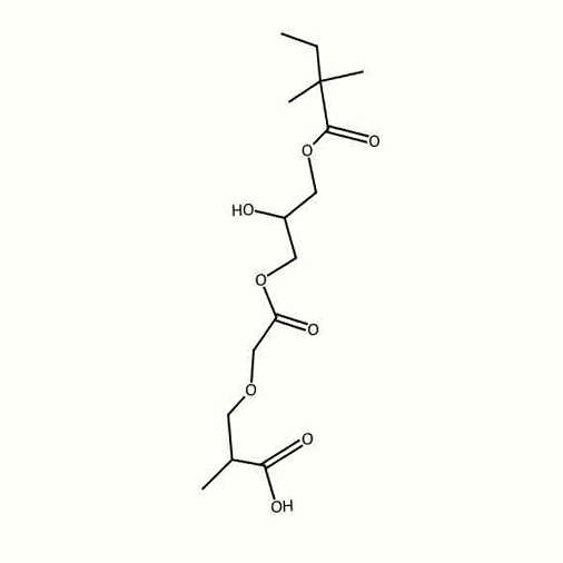 CCC(C)(C)C(=O)OCC(O)COC(=O)COCC(C)C(=O)O